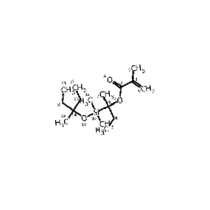 C=C(C)C(=O)OC(C)(CC)[Si](C)(C)OC(C)(CC)CC